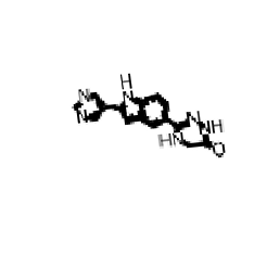 O=C1CNC(c2ccc3[nH]c(-c4cncnc4)cc3c2)=NN1